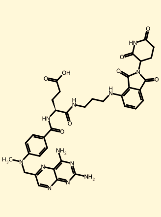 CN(Cc1cnc2nc(N)nc(N)c2n1)c1ccc(C(=O)N[C@@H](CCC(=O)O)C(=O)NCCCNc2cccc3c2C(=O)N(C2CCC(=O)NC2=O)C3=O)cc1